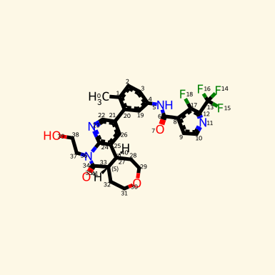 Cc1ccc(NC(=O)c2ccnc(C(F)(F)F)c2F)cc1-c1cnc2c(c1)[C@H]1CCOCC[C@@H]1C(=O)N2CCO